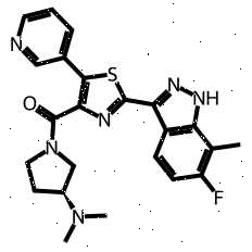 Cc1c(F)ccc2c(-c3nc(C(=O)N4CC[C@H](N(C)C)C4)c(-c4cccnc4)s3)n[nH]c12